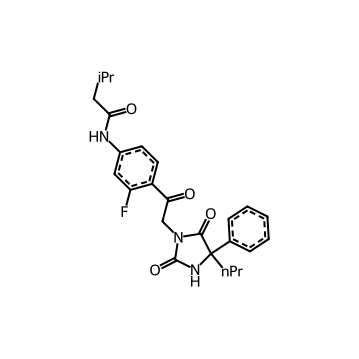 CCCC1(c2ccccc2)NC(=O)N(CC(=O)c2ccc(NC(=O)CC(C)C)cc2F)C1=O